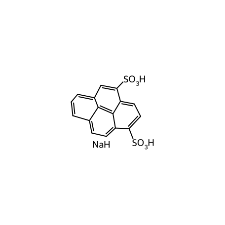 O=S(=O)(O)c1ccc2c(S(=O)(=O)O)cc3cccc4ccc1c2c43.[NaH]